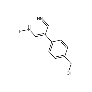 N=C/C(=C\NI)c1ccc(CO)cc1